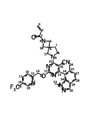 C=CC(=O)N1CC2(CCN(c3nc(OCc4ccc(C(F)(F)F)cn4)nc(-c4c(C)ccc5cnn(C)c45)c3C#N)C2)C1